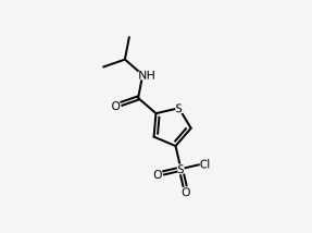 CC(C)NC(=O)c1cc(S(=O)(=O)Cl)cs1